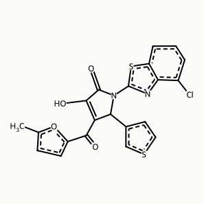 Cc1ccc(C(=O)C2=C(O)C(=O)N(c3nc4c(Cl)cccc4s3)C2c2ccsc2)o1